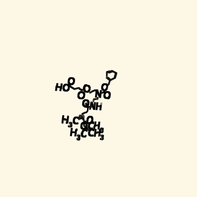 C[C@@H](CCC(=O)NCCN(CCOC(=O)CCC(=O)O)C(=O)OCc1ccccc1)C(=O)OC(C)(C)C